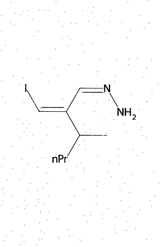 CCCC(C)C(/C=N\N)=C/I